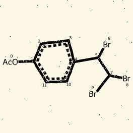 CC(=O)Oc1ccc(C(Br)C(Br)Br)cc1